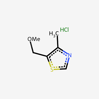 COCc1scnc1C.Cl